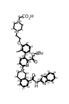 Cc1c(OCCN2CCN(CC(=O)O)CC2)cccc1-c1ccc(N2CCc3cccc(C(=O)Nc4nc5ccccc5s4)c3C2)nc1C(=O)OC(C)(C)C